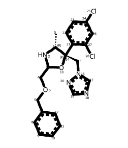 C[C@H]1NC(COCc2ccccc2)O[C@@]1(Cn1cncn1)c1ccc(Cl)cc1Cl